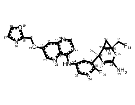 C[C@@]1(c2cc(Nc3ncnc4cc(OCc5ncco5)cnc34)cnc2F)N=C(N)S[C@@]2(CF)C[C@H]21